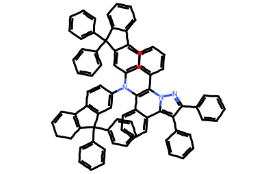 C1=CC2=C(CC1)C(c1ccccc1)(c1ccccc1)c1cc(N(c3ccc4c(c3)C(c3ccccc3)(c3ccccc3)c3ccccc3-4)c3c(-c4ccccc4)n4nc(-c5ccccc5)c(-c5ccccc5)c4c4ccccc34)ccc12